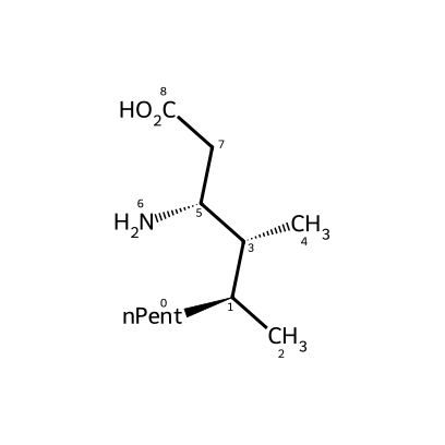 CCCCC[C@H](C)[C@@H](C)[C@H](N)CC(=O)O